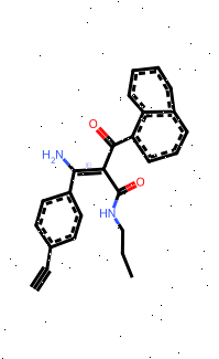 C#Cc1ccc(/C(N)=C(\C(=O)NCCC)C(=O)c2cccc3ccccc23)cc1